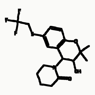 CC1(C)Oc2ccc(SCC(F)(F)F)cc2C(N2CCCCC2=O)C1O